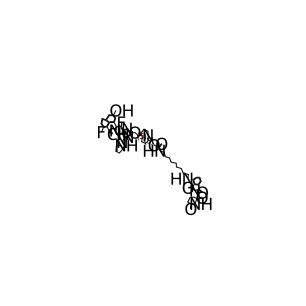 C#Cc1c(F)ccc2cc(O)cc(-c3ncc4c(N5CC6CCC(C5)N6)nc(OC[C@@]56CCCN5[C@H](COC(=O)NCCCCCCCCCNc5cccc7c5C(=O)N(C5CCC(=O)NC5=O)C7=O)CC6)nc4c3F)c12